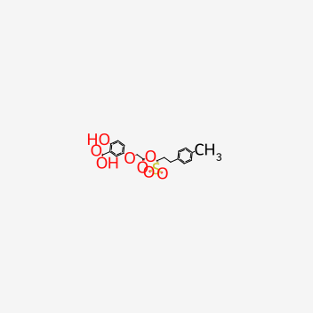 Cc1ccc(CCC(OC(=O)COc2ccc(O)c(C(=O)O)c2)=S(=O)=O)cc1